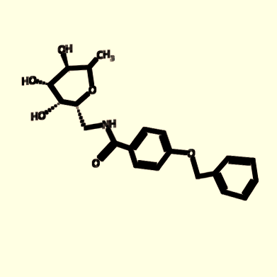 CC1O[C@H](CNC(=O)c2ccc(OCc3ccccc3)cc2)[C@H](O)[C@H](O)[C@H]1O